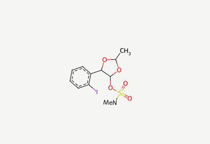 CNS(=O)(=O)OC1OC(C)OC1c1ccccc1I